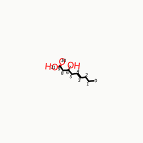 CCCC=CCC(O)CC(=O)O